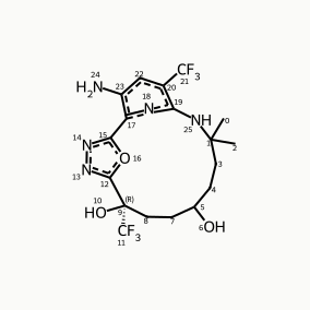 CC1(C)CCC(O)CC[C@](O)(C(F)(F)F)c2nnc(o2)-c2nc(c(C(F)(F)F)cc2N)N1